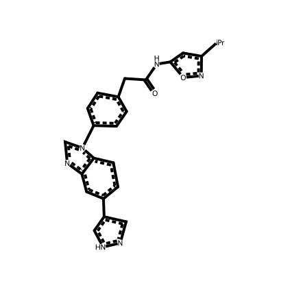 CC(C)c1cc(NC(=O)Cc2ccc(-n3cnc4cc(-c5cn[nH]c5)ccc43)cc2)on1